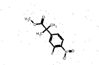 COC(=O)C(C)(C)c1ccc([N+](=O)[O-])c(F)c1